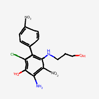 Nc1c(O)c(Cl)c(-c2ccc([N+](=O)[O-])cc2)c(NCCCO)c1[N+](=O)[O-]